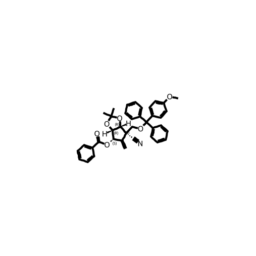 C=C1[C@H](OC(=O)c2ccccc2)[C@@H]2OC(C)(C)O[C@@H]2[C@@]1(C#N)COC(c1ccccc1)(c1ccccc1)c1ccc(OC)cc1